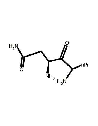 CCCC(N)C(=O)[C@@H](N)CC(N)=O